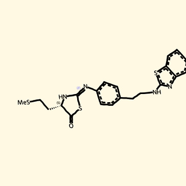 CSCC[C@@H]1N/C(=N/c2ccc(CCNc3nc4ccccc4s3)cc2)SC1=O